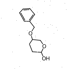 OC1CCC(OCc2ccccc2)CO1